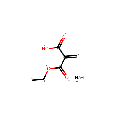 C=C(C(=O)O)C(=O)OCC.[NaH]